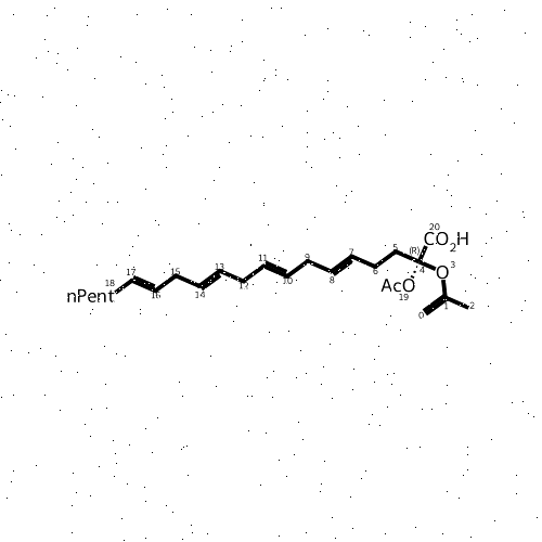 C=C(C)O[C@](CCC=CCC=CCC=CCC=CCCCCC)(OC(C)=O)C(=O)O